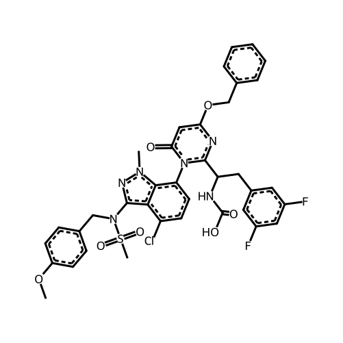 COc1ccc(CN(c2nn(C)c3c(-n4c(C(Cc5cc(F)cc(F)c5)NC(=O)O)nc(OCc5ccccc5)cc4=O)ccc(Cl)c23)S(C)(=O)=O)cc1